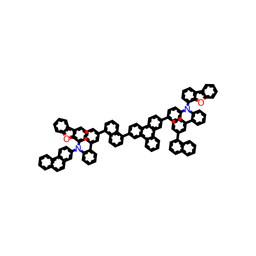 c1cc(-c2ccccc2N(c2ccc(-c3ccc4c5ccc(-c6cccc7c(-c8cccc(-c9ccccc9N(c9ccc%10c(ccc%11ccccc%11%10)c9)c9cccc%10c9oc9ccccc9%10)c8)cccc67)cc5c5ccccc5c4c3)cc2)c2cccc3c2oc2ccccc23)cc(-c2cccc3ccccc23)c1